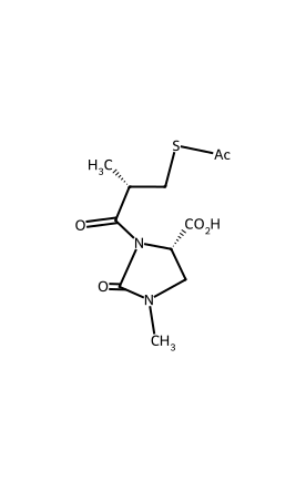 CC(=O)SC[C@@H](C)C(=O)N1C(=O)N(C)C[C@H]1C(=O)O